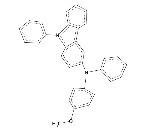 COc1ccc(N(c2ccccc2)c2ccc3c(c2)c2ccccc2n3-c2ccccc2)cc1